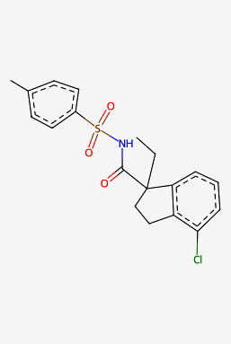 CCC1(C(=O)NS(=O)(=O)c2ccc(C)cc2)CCc2c(Cl)cccc21